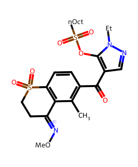 CCCCCCCCS(=O)(=O)Oc1c(C(=O)c2ccc3c(c2C)/C(=N/OC)CCS3(=O)=O)cnn1CC